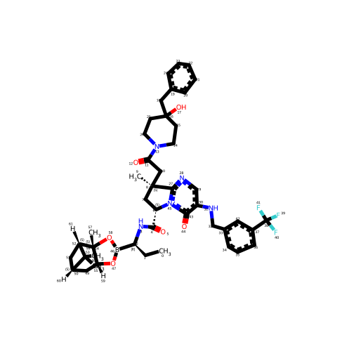 CC[C@H](NC(=O)[C@@H]1C[C@@](C)(CC(=O)N2CCC(O)(Cc3ccccc3)CC2)c2ncc(NCc3cccc(C(F)(F)F)c3)c(=O)n21)B1O[C@@H]2C[C@@H]3C[C@@H](C3(C)C)[C@]2(C)O1